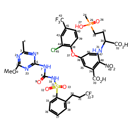 COc1nc(C)nc(NC(=O)NS(=O)(=O)c2ccccc2CCC(F)(F)F)n1.CP(=O)(O)CCC(N)C(=O)O.O=C(O)c1cc(Oc2ccc(C(F)(F)F)cc2Cl)ccc1[N+](=O)[O-]